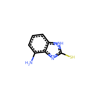 Nc1cccc2[nH]c(S)nc12